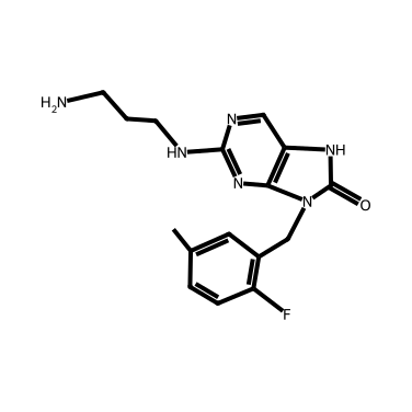 Cc1ccc(F)c(Cn2c(=O)[nH]c3cnc(NCCCN)nc32)c1